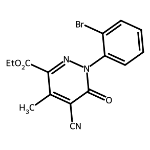 CCOC(=O)c1nn(-c2ccccc2Br)c(=O)c(C#N)c1C